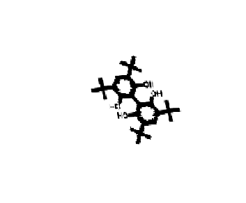 CC(C)(C)c1cc(C(C)(C)C)c(O)c(-c2c(O)c(C(C)(C)C)cc(C(C)(C)C)c2O)c1O